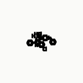 CN(c1cc(-c2ccccc2)nc2cc(Cl)ccc12)C1CCN(Cc2ccccc2)CC1.Cl